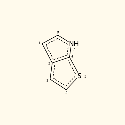 c1cc2ccsc2[nH]1